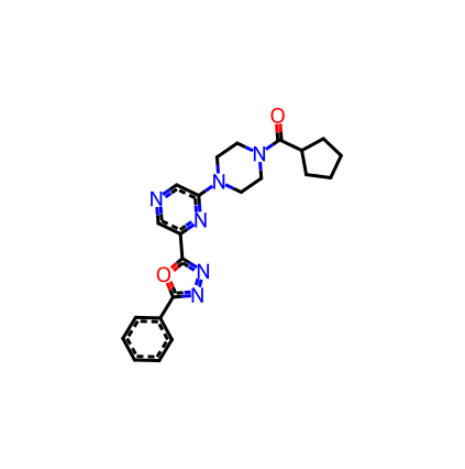 O=C(C1CCCC1)N1CCN(c2cncc(-c3nnc(-c4ccccc4)o3)n2)CC1